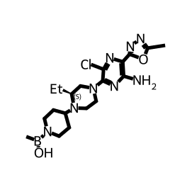 CC[C@H]1CN(c2nc(N)c(-c3nnc(C)o3)nc2Cl)CCN1C1CCN(B(C)O)CC1